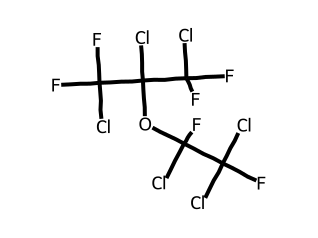 FC(F)(Cl)C(Cl)(OC(F)(Cl)C(F)(Cl)Cl)C(F)(F)Cl